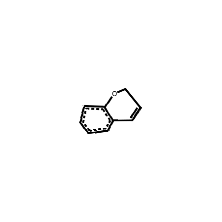 [c]1cc[c]c2c1C=CCO2